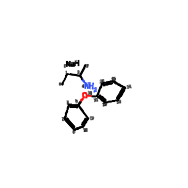 CCC(C)N.[NaH].c1ccc(Oc2ccccc2)cc1